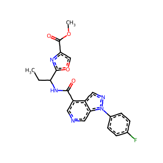 CCC(NC(=O)c1cncc2c1cnn2-c1ccc(F)cc1)c1nc(C(=O)OC)co1